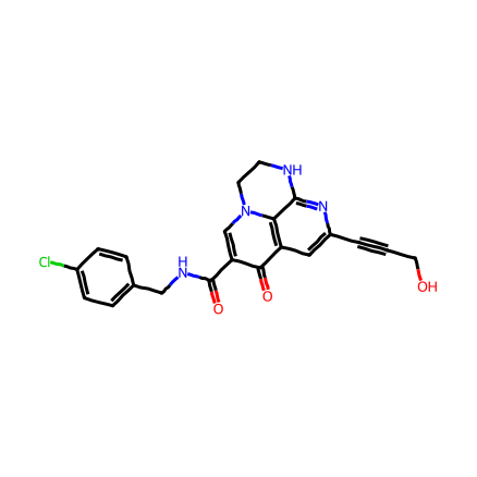 O=C(NCc1ccc(Cl)cc1)c1cn2c3c(nc(C#CCO)cc3c1=O)NCC2